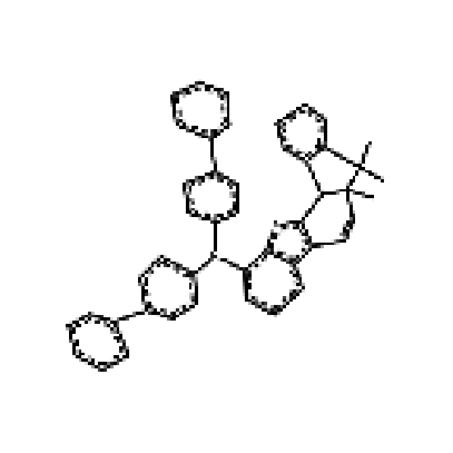 CC1(C)c2ccccc2C2c3sc4c(N(c5ccc(-c6ccccc6)cc5)c5ccc(-c6ccccc6)cc5)cccc4c3C=CC21C